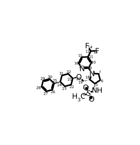 CS(=O)(=O)N[C@H]1CCN(c2cc(C(F)F)ccn2)[C@H]1CO[C@H]1CC[C@@H](c2ccccc2)CC1